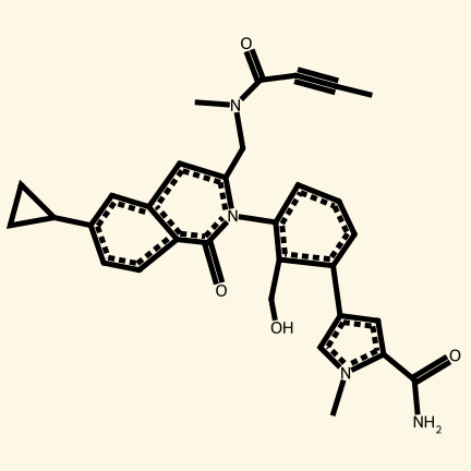 CC#CC(=O)N(C)Cc1cc2cc(C3CC3)ccc2c(=O)n1-c1cccc(-c2cc(C(N)=O)n(C)c2)c1CO